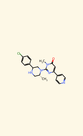 C[C@@H]1CNC(c2ccc(Cl)cc2)CN1c1nc(-c2ccncc2)cc(=O)n1C